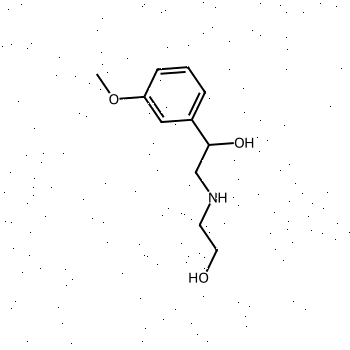 COc1cccc(C(O)CNCCO)c1